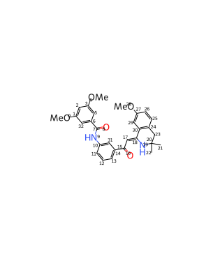 COc1cc(OC)cc(C(=O)Nc2cccc(C(=O)C=C3NC(C)(C)Cc4ccc(OC)cc43)c2)c1